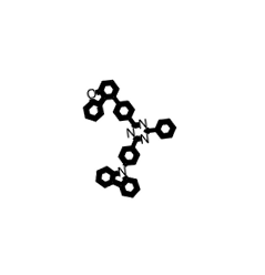 c1ccc(-c2nc(-c3ccc(-c4cccc5oc6ccccc6c45)cc3)nc(-c3ccc(-n4c5ccccc5c5ccccc54)cc3)n2)cc1